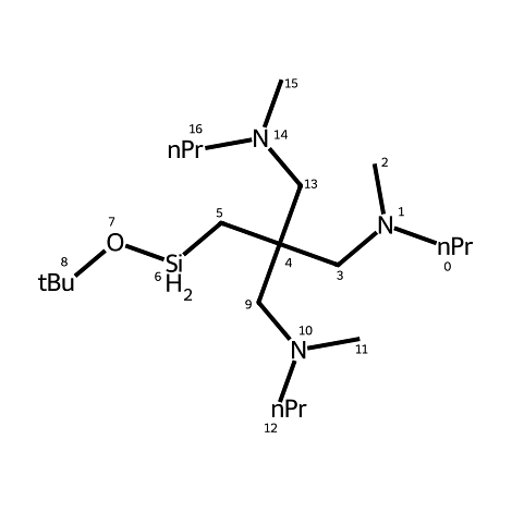 CCCN(C)CC(C[SiH2]OC(C)(C)C)(CN(C)CCC)CN(C)CCC